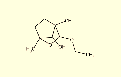 CCOC1OC2(C)CCC1(C)C2O